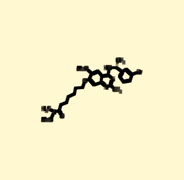 COc1cc2c(N[C@H](C)c3cccc(Br)c3)nc(C)nc2cc1OCCCCCCC(=O)N(C)OC